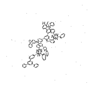 Cc1ccccc1-n1c2ccccc2c2cc(-c3cc(-c4ccc5c(c4)c4cc(-c6ccc7oc8cccc(-c9nc(-c%10ccccc%10)nc(-c%10cccc(-c%11cc(-c%12ccccc%12)cc(-c%12ccccc%12)c%11)c%10)n9)c8c7c6)ccc4n5-c4ccc5oc6ccccc6c5c4)c4sc5cccc(-c6nc(-c7ccccc7)nc(-c7ccccc7)n6)c5c4c3)ccc21